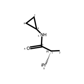 CC(C)[C@@H](C)C(=O)NC1CC1